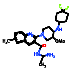 CO[C@H]1CN(c2nc3ccc(C)cc3cc2C(=O)NC(C)N)CC[C@H]1NC1CCC(F)(F)CC1